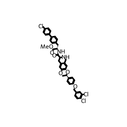 COC(=O)[C@H](Cc1ccc(-c2ccc(Cl)cc2)cc1)NC(=O)C1Cc2cc3c(cc2CN1)O[C@@H](c1ccc(OCc2ccc(Cl)c(Cl)c2)cc1)CO3